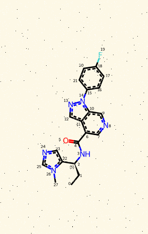 CC[C@H](NC(=O)c1cncc2c1cnn2-c1ccc(F)cc1)c1cncn1C